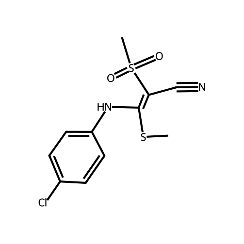 CSC(Nc1ccc(Cl)cc1)=C(C#N)S(C)(=O)=O